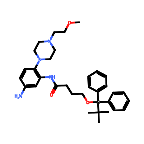 COCCN1CCN(c2ccc(N)cc2NC(=O)CCCO[Si](c2ccccc2)(c2ccccc2)C(C)(C)C)CC1